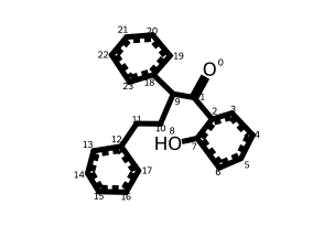 O=C(c1ccccc1O)C(CCc1ccccc1)c1ccccc1